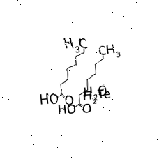 CCCCCCCC(=O)O.CCCCCCCC(=O)O.O.[TeH2]